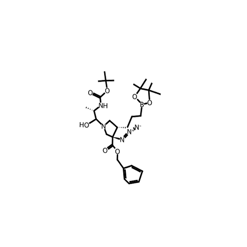 C[C@H](NC(=O)OC(C)(C)C)C(O)N1C[C@H](CCCB2OC(C)(C)C(C)(C)O2)[C@](N=[N+]=[N-])(C(=O)OCc2ccccc2)C1